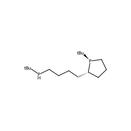 CC(C)(C)PCCCC[C@H]1CCC[P@]1C(C)(C)C